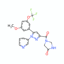 COc1cc(OC(F)(F)F)cc(-c2cc(C(=O)N3CNC(=O)C3)nn2-c2cccnc2)c1